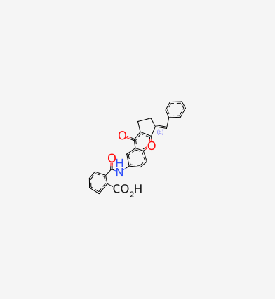 O=C(O)c1ccccc1C(=O)Nc1ccc2oc3c(c(=O)c2c1)CC/C3=C\c1ccccc1